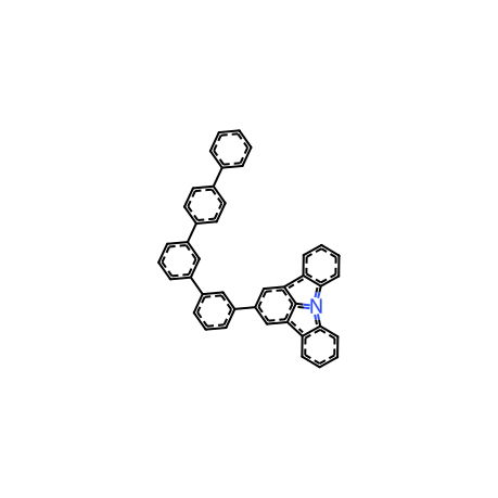 c1ccc(-c2ccc(-c3cccc(-c4cccc(-c5cc6c7ccccc7n7c8ccccc8c(c5)c67)c4)c3)cc2)cc1